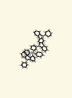 c1ccc(-n2c3ccccc3c3cc4c(cc32)c2ccccc2n4-c2cccc([Si](c3ccccc3)(c3ccccc3)c3cccc4c3c3ccccc3n4-c3ccccc3)c2)cc1